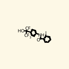 O=C(Nc1ccc(C(O)(C(F)(F)F)C(F)(F)F)cc1)c1ccccc1I